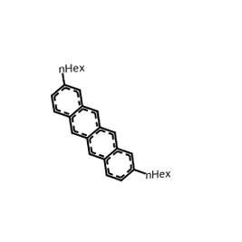 CCCCCCc1ccc2cc3cc4ccc(CCCCCC)cc4cc3cc2c1